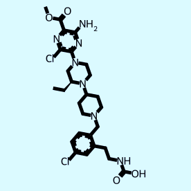 CC[C@H]1CN(c2nc(N)c(C(=O)OC)nc2Cl)CCN1C1CCN(Cc2ccc(Cl)cc2CCNC(=O)O)CC1